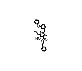 CCCc1nc(Cc2cccc(Oc3ccccc3)c2)c(C)c(C(=O)OCCc2ccccc2)c1O